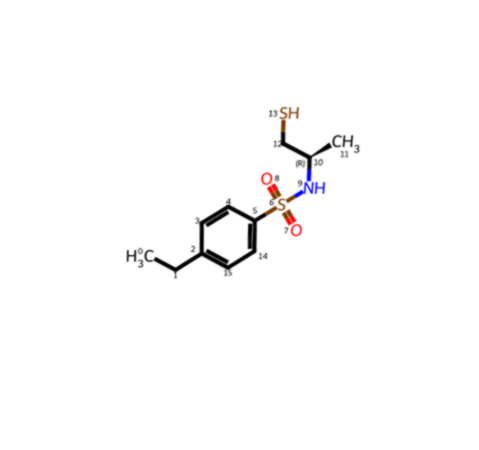 CCc1ccc(S(=O)(=O)N[C@H](C)CS)cc1